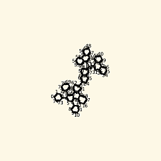 c1ccc(-c2cc(-c3ccccc3)c3c4ccccc4c4cc(-c5ccc6cc(N(c7cc8ccccc8c8ccccc78)c7cc8ccccc8c8ccccc78)ccc6c5)ccc4c3c2-c2ccccc2)cc1